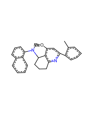 CCN(c1cccc2ccccc12)C1CCCc2nc(-c3ccccc3C)cc(OC)c21